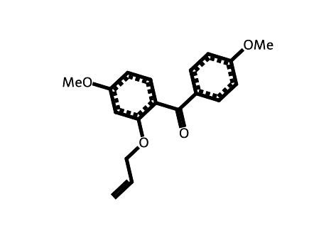 C=CCOc1cc(OC)ccc1C(=O)c1ccc(OC)cc1